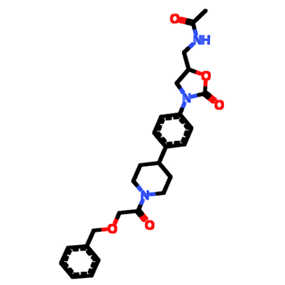 CC(=O)NCC1CN(c2ccc(C3CCN(C(=O)COCc4ccccc4)CC3)cc2)C(=O)O1